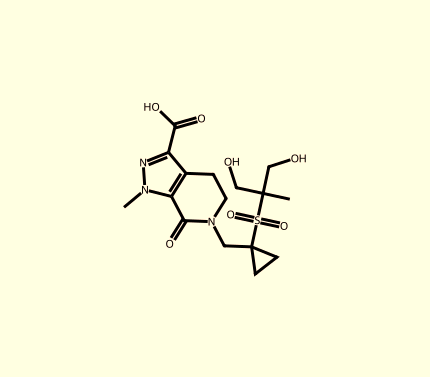 Cn1nc(C(=O)O)c2c1C(=O)N(CC1(S(=O)(=O)C(C)(CO)CO)CC1)CC2